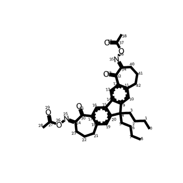 CCCCC1(CCCC)c2cc3c(cc2-c2cc4c(cc21)CCC/C(=N\OC(C)=O)C4=O)C(=O)/C(=N/OC(C)=O)CCC3